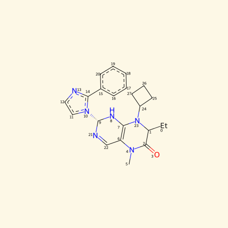 CCC1C(=O)N(C)C2=C(N[C@@H](n3ccnc3-c3ccccc3)N=C2)N1C1CCC1